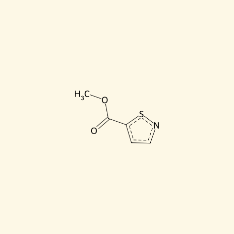 COC(=O)c1ccns1